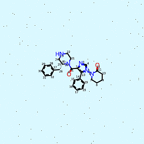 O=C(c1ncn(N2CCCCC2=O)c1-c1ccccc1)N1CCNC[C@H]1Cc1ccccc1